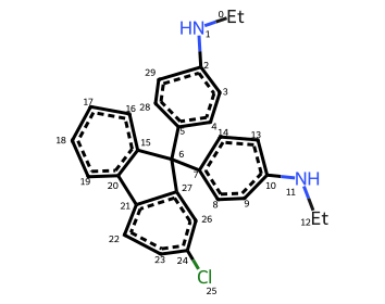 CCNc1ccc(C2(c3ccc(NCC)cc3)c3ccccc3-c3ccc(Cl)cc32)cc1